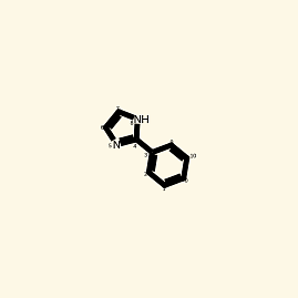 [c]1[c][c]c(-c2ncc[nH]2)c[c]1